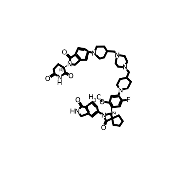 COc1cc(N2CCC(CN3CCN(CC4CCN(c5ccc6c(c5)CN([C@H]5CCC(=O)NC5=O)C6=O)CC4)CC3)CC2)c(F)cc1[C@@H]1N(c2ccc3c(c2)CNC3=O)C(=O)C12CCCC2